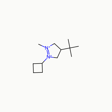 C[N+]1=[N+](C2CCC2)CC(C(C)(C)C)C1